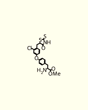 COC(=O)[C@@H](N)Cc1ccc(Oc2ccc(CC3SC(=S)NC3=O)c(Cl)c2)cc1